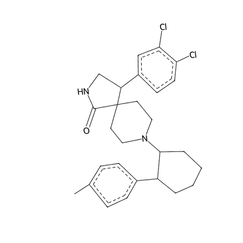 Cc1ccc(C2CCCCC2N2CCC3(CC2)C(=O)NCC3c2ccc(Cl)c(Cl)c2)cc1